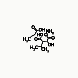 CC(C)C(C(=O)O)C(O)C(=O)ON.CCCC(=O)O